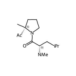 CN[C@@H](CC(C)C)C(=O)N1CCC[C@@]1(C)C(C)=O